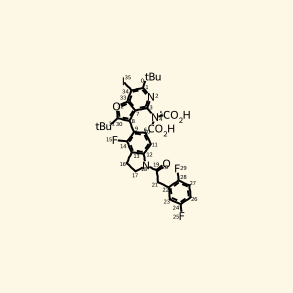 CC(C)(C)c1nc(N(C(=O)O)C(=O)O)c2c(-c3ccc4c(c3F)CCN4C(=O)Cc3cc(F)ccc3F)c(C(C)(C)C)oc2c1I